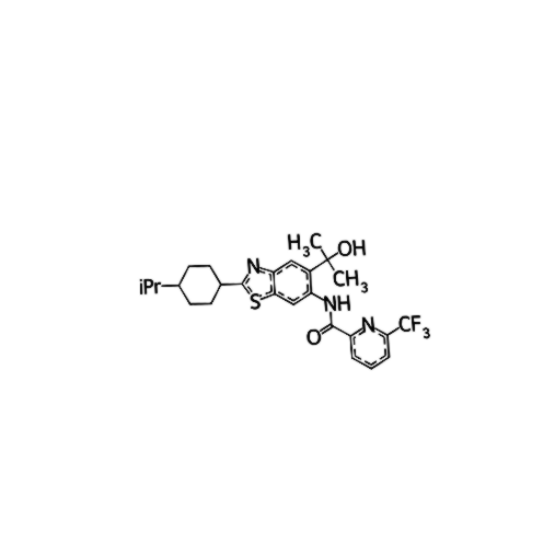 CC(C)C1CCC(c2nc3cc(C(C)(C)O)c(NC(=O)c4cccc(C(F)(F)F)n4)cc3s2)CC1